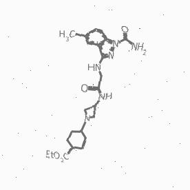 CCOC(=O)C1CCC(N2CC(NC(=O)CNc3nn(C(N)=O)c4ccc(C)cc34)C2)CC1